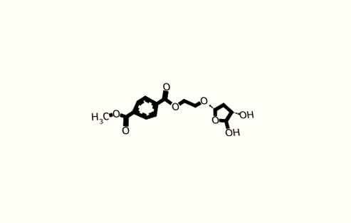 COC(=O)c1ccc(C(=O)OCCO[C@@H]2C[C@H](O)C(O)O2)cc1